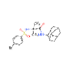 CC(C)c1ccc(S(=O)(=O)NC(C)(C)C(=O)NC2C3CC4CC(C3)CC2C4)cc1